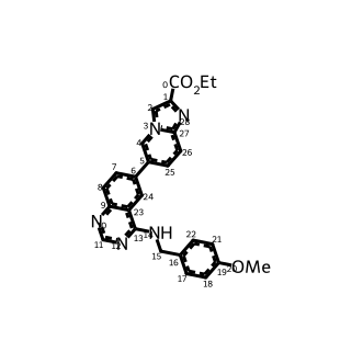 CCOC(=O)c1cn2cc(-c3ccc4ncnc(NCc5ccc(OC)cc5)c4c3)ccc2n1